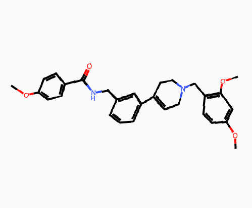 COc1ccc(C(=O)NCc2cccc(C3=CCN(Cc4ccc(OC)cc4OC)CC3)c2)cc1